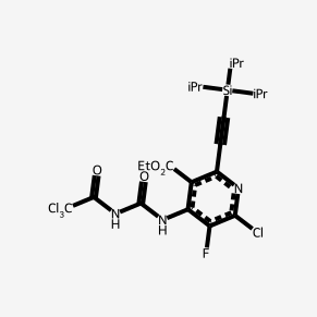 CCOC(=O)c1c(C#C[Si](C(C)C)(C(C)C)C(C)C)nc(Cl)c(F)c1NC(=O)NC(=O)C(Cl)(Cl)Cl